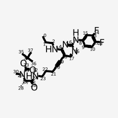 CCCNc1nc(Nc2ccc(F)c(F)c2)ncc1C#CCCCNC(=O)[C@H](C)N(C)C(=O)OC(C)(C)C